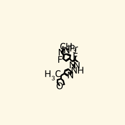 Cc1nc2c(F)cc(-c3nc(Nc4ccc(C(C)C5CCOCC5)cn4)ncc3F)cc2n1C(C)C